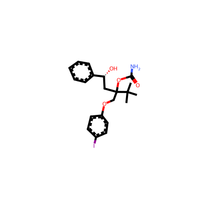 CC(C)(C)C(COc1ccc(I)cc1)(C[C@@H](O)c1ccccc1)OC(N)=O